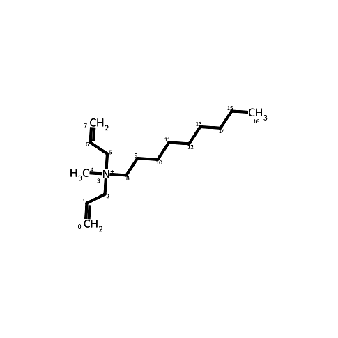 C=CC[N+](C)(CC=C)CCCCCCCCC